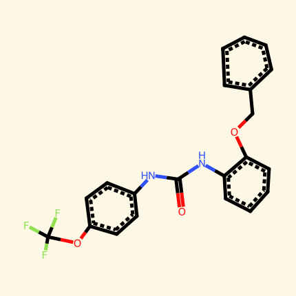 O=C(Nc1ccc(OC(F)(F)F)cc1)Nc1ccccc1OCc1ccccc1